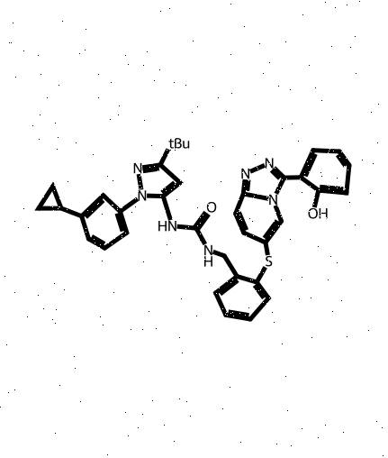 CC(C)(C)c1cc(NC(=O)NCc2ccccc2Sc2ccc3nnc(-c4ccccc4O)n3c2)n(-c2cccc(C3CC3)c2)n1